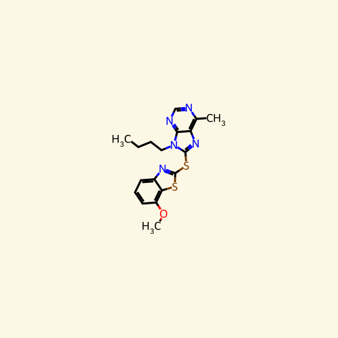 CCCCn1c(Sc2nc3cccc(OC)c3s2)nc2c(C)ncnc21